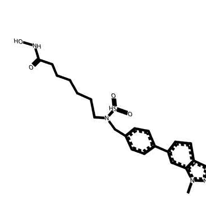 Cn1ncc2ccc(-c3ccc(CN(CCCCCCC(=O)NO)[SH](=O)=O)cc3)cc21